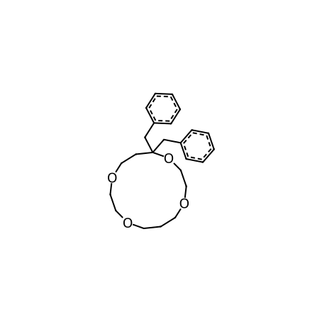 c1ccc(CC2(Cc3ccccc3)CCOCCOCCCOCCO2)cc1